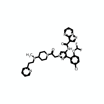 CN(CCc1ccccn1)C1CCN(C(=O)Cn2cc(NC(=O)c3cnn4cccnc34)c(-c3cc(Cl)ccc3OC(F)F)n2)CC1